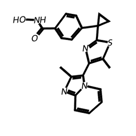 Cc1nc2ccccn2c1-c1nc(C2(c3ccc(C(=O)NO)cc3)CC2)sc1C